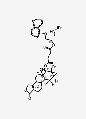 CC(C)NC[C@@H](COc1cccc2ccccc12)OC(=O)CCC(=O)O[C@@H]1C2(C(C)C)C[C@H]2[C@@H]2O[C@@]23[C@@]2(C)CCC4=C(COC4=O)C2CO[C@]13C